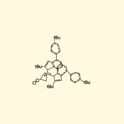 CC(C)(C)C1=Cc2c(-c3ccc(C(C)(C)C)cc3)cccc2[CH]1[Zr+2]1([CH]2C(C(C)(C)C)=Cc3c(-c4ccc(C(C)(C)C)cc4)cccc32)[CH2]C[CH2]1.[Cl-].[Cl-]